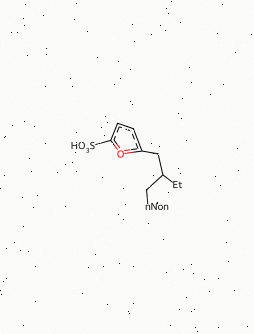 CCCCCCCCCCC(CC)Cc1ccc(S(=O)(=O)O)o1